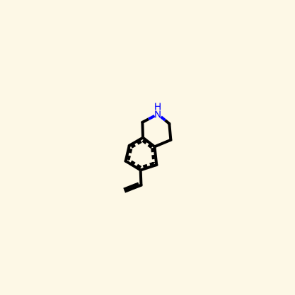 C=Cc1ccc2c(c1)CCNC2